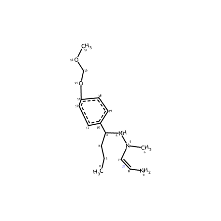 CCCC(NN(C)/C=C\N)c1ccc(OCOC)cc1